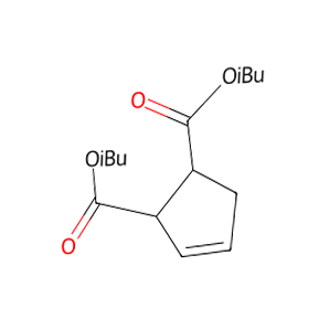 CC(C)COC(=O)C1C=CCC1C(=O)OCC(C)C